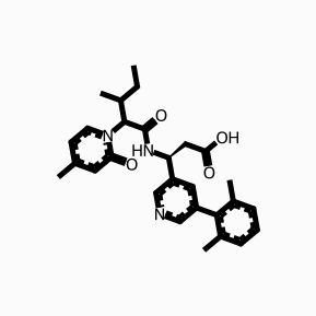 CCC(C)C(C(=O)N[C@@H](CC(=O)O)c1cncc(-c2c(C)cccc2C)c1)n1ccc(C)cc1=O